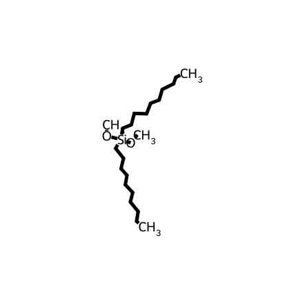 CCCCCCCCCC[Si](CCCCCCCCCC)(OC)OC